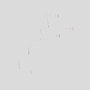 CC(CO)(COCCCC(=O)O)C(=O)O